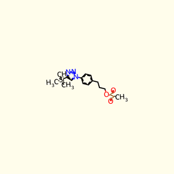 C[Si](C)(C)c1cn(-c2ccc(CCCOS(C)(=O)=O)cc2)nn1